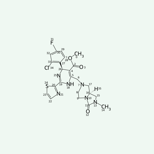 COC(=O)C1=C(CN2CCN3C(=O)N(C)C[C@@H]3C2)NC(c2nccs2)=N[C@H]1c1ccc(F)cc1Cl